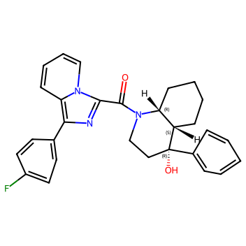 O=C(c1nc(-c2ccc(F)cc2)c2ccccn12)N1CC[C@](O)(c2ccccc2)[C@H]2CCCC[C@H]21